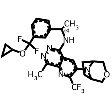 Cc1nnc(N[C@H](C)c2cccc(C(F)(F)OC3CC3)c2)c2cc(N3C4CCC3COC4)c(C(F)(F)F)nc12